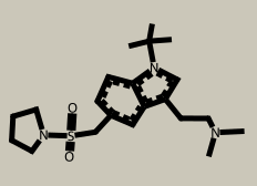 CN(C)CCc1cn(C(C)(C)C)c2ccc(CS(=O)(=O)N3CCCC3)cc12